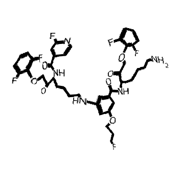 NCCCCC(NC(=O)c1cc(NCCCCC(NC(=O)c2ccnc(F)c2)C(=O)COc2c(F)cccc2F)cc(OCCCF)c1)C(=O)COc1c(F)cccc1F